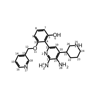 Nc1nc(-c2c(O)cccc2OCc2cccnc2)cc(C2CCCNC2)c1N